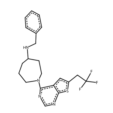 FC(F)(F)Cc1cc2c(N3CCCC(NCc4ccccc4)CC3)ncnc2s1